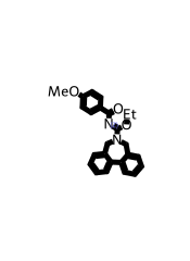 CCO/C(=N\C(=O)c1ccc(OC)cc1)N1Cc2ccccc2-c2ccccc2C1